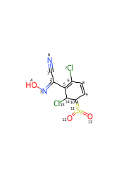 N#CC(=NO)C1=C(Cl)C=CC(=S(=O)=O)C1Cl